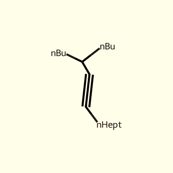 CCCCCCCC#CC(CCCC)CCCC